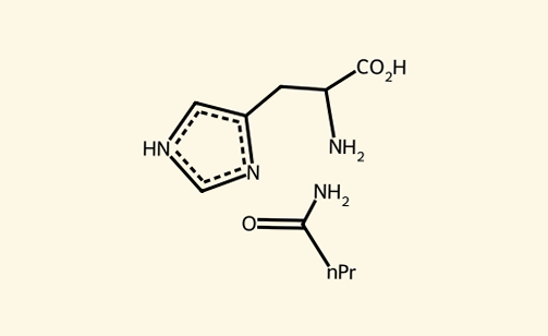 CCCC(N)=O.NC(Cc1c[nH]cn1)C(=O)O